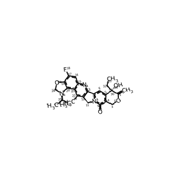 C=C1OCc2c(cc3n(c2=O)Cc2c-3nc3cc(F)c4c(c3c2C)N(C(C)C)CO4)[C@@]1(O)CC